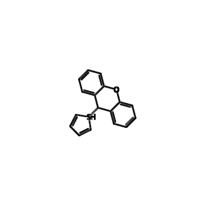 C1=C[SH](C2c3ccccc3Oc3ccccc32)C=C1